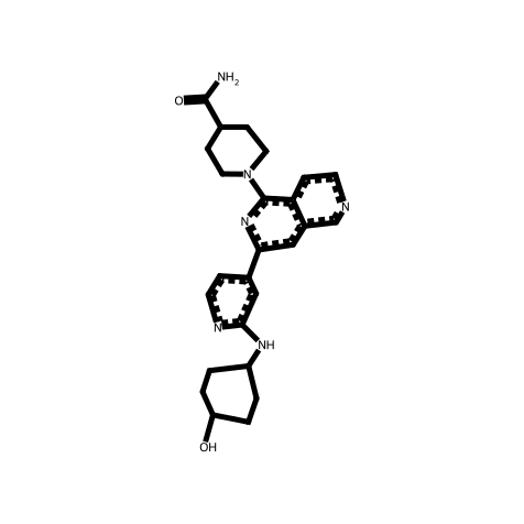 NC(=O)C1CCN(c2nc(-c3ccnc(NC4CCC(O)CC4)c3)cc3cnccc23)CC1